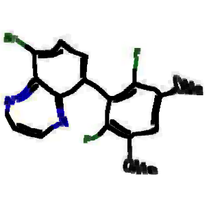 COc1cc(OC)c(F)c(-c2ccc(Br)c3nccnc23)c1F